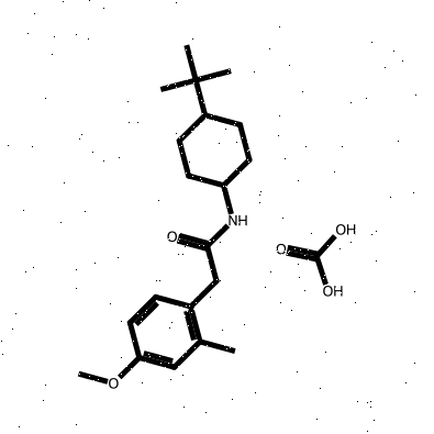 COc1ccc(CC(=O)NC2CCC(C(C)(C)C)CC2)c(C)c1.O=C(O)O